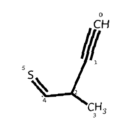 C#CC(C)[C]=S